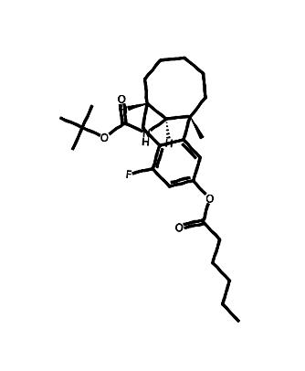 CCCCCC(=O)Oc1cc(F)c2c(c1)[C@@]1(C)CCCCC[C@@H](C2)[C@@H]1NC(=O)OC(C)(C)C